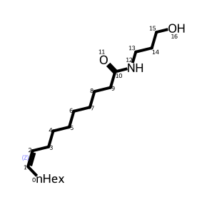 CCCCCC/C=C\CCCCCCCC(=O)NCCCO